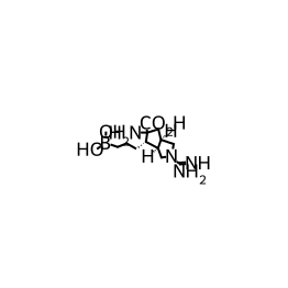 N=C(N)N1C[C@@H]2CC(N)(C(=O)O)[C@@H](CCCB(O)O)[C@@H]2C1